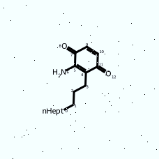 CCCCCCCCCCC1=C(N)C(=O)C=CC1=O